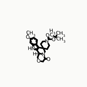 COc1ccc2c3c([nH]c2c1)[C@@H]1COCC(=O)N1CC31CCN(C(=O)OC(C)(C)C)CC1